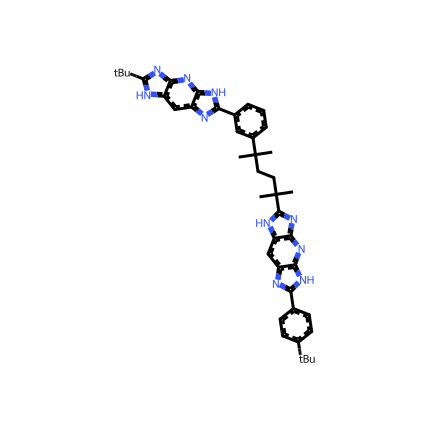 CC(C)(C)c1ccc(-c2nc3cc4[nH]c(C(C)(C)CCC(C)(C)c5cccc(-c6nc7cc8[nH]c(C(C)(C)C)nc8nc7[nH]6)c5)nc4nc3[nH]2)cc1